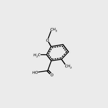 COc1ccc(C)c(C(=O)O)c1C